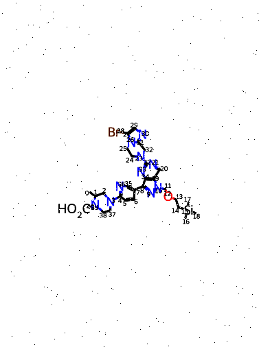 CC1CN(c2ccc(-c3nn(COCC[Si](C)(C)C)c4cnc(N5CCn6c(Br)cnc6C5)nc34)cn2)CCN1C(=O)O